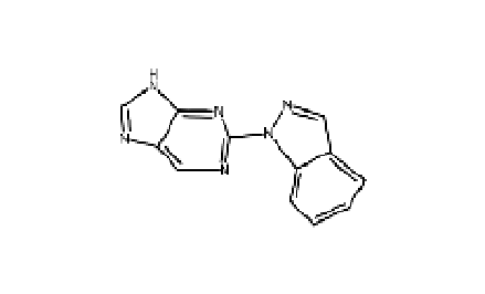 c1ccc2c(c1)cnn2-c1ncc2nc[nH]c2n1